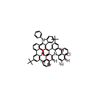 [2H]c1cc(N(c2cc(N(c3ccc4c(c3)c3ccccc3n4-c3ccccc3)c3c(-c4ccccc4)cc(C(C)(C)C)cc3-c3ccccc3)c([2H])c(Br)c2[2H])c2c(-c3ccccc3)cc(C(C)(C)C)cc2-c2ccccc2)c([2H])c(Cl)c1[2H]